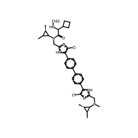 CC1C(N(C)Cc2nc(Cl)c(-c3ccc(-c4ccc(-c5[nH]c(CN(C(=O)C(NC=O)C6CCC6)C6C(C)[C@H]6C)nc5Cl)cc4)cc3)[nH]2)[C@@H]1C